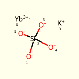 [K+].[O-][Si]([O-])([O-])[O-].[Yb+3]